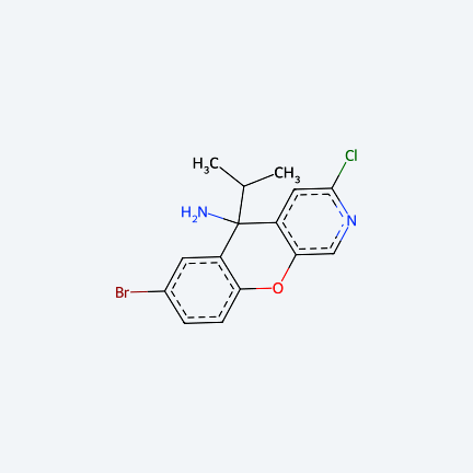 CC(C)C1(N)c2cc(Br)ccc2Oc2cnc(Cl)cc21